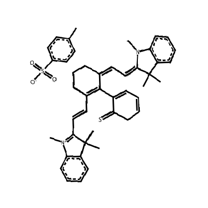 CN1C(=CC=C2CCCC(C=CC3=[N+](C)c4ccccc4C3(C)C)=C2C2=CC=CCC2=S)C(C)(C)c2ccccc21.Cc1ccc(S(=O)(=O)[O-])cc1